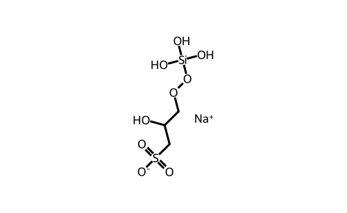 O=S(=O)([O-])CC(O)COO[Si](O)(O)O.[Na+]